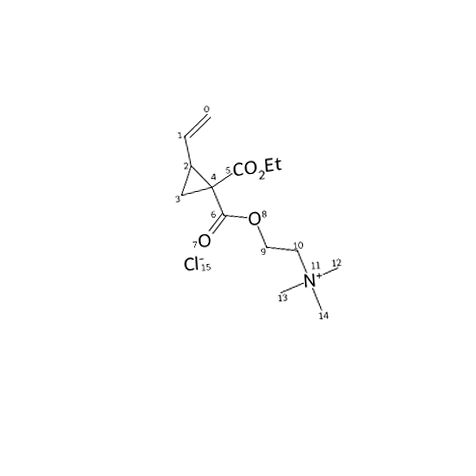 C=CC1CC1(C(=O)OCC)C(=O)OCC[N+](C)(C)C.[Cl-]